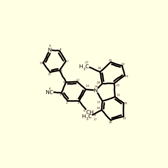 Cc1cc(C#N)c(-c2ccncc2)cc1-n1c2c(C)cccc2c2cccc(C)c21